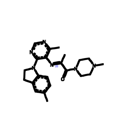 C/C(=N\c1c(C)ncnc1N1CCc2cc(C)ccc21)C(=O)N1CCN(C)CC1